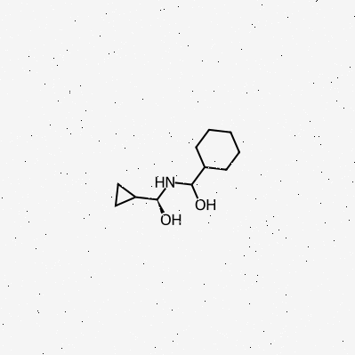 OC(N[C@@H](O)C1CC1)C1CCCCC1